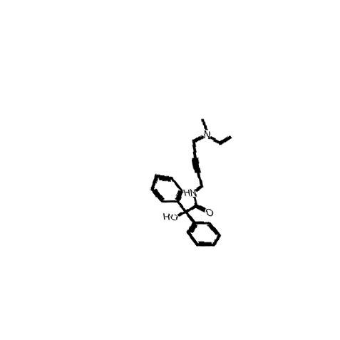 CCN(C)CC#CCNC(=O)C(O)(c1ccccc1)c1ccccc1